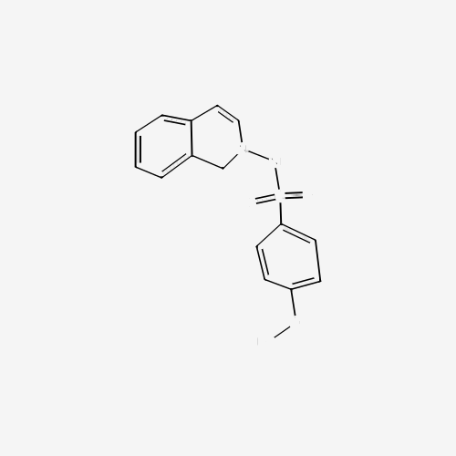 COc1ccc(S(=O)(=O)NN2C=Cc3ccccc3C2)cc1